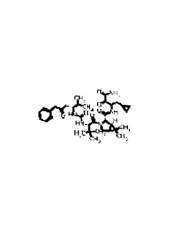 CC(C)[C@@H](CC(=O)Cc1ccccc1)NC(=O)N[C@H](C(=O)N1CC2[C@@H]([C@H]1C(=O)NC(CC1CC1)C(=O)C(N)=O)C2(C)C)C(C)(C)C